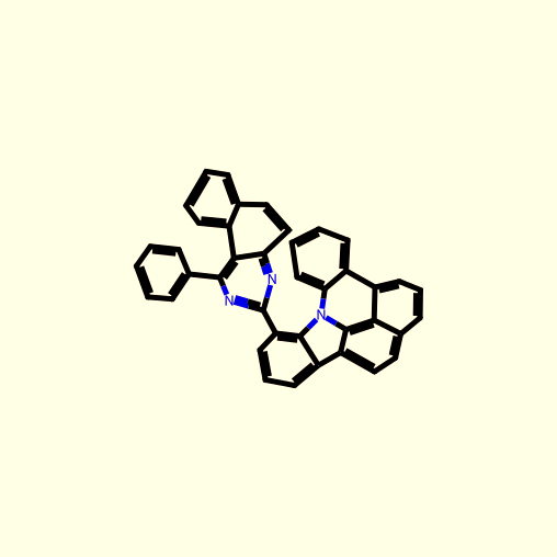 c1ccc(-c2nc(-c3cccc4c5ccc6cccc7c8ccccc8n(c34)c5c67)nc3ccc4ccccc4c23)cc1